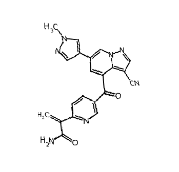 C=C(C(N)=O)c1ccc(C(=O)c2cc(-c3cnn(C)c3)cn3ncc(C#N)c23)cn1